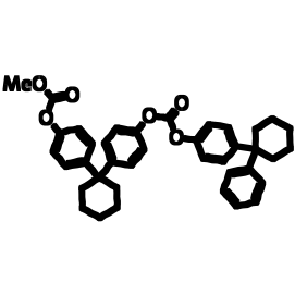 COC(=O)Oc1ccc(C2(c3ccc(OC(=O)Oc4ccc(C5(c6ccccc6)CCCCC5)cc4)cc3)CCCCC2)cc1